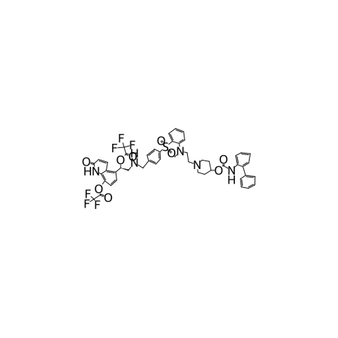 CN(CCN1CCC(OC(=O)Nc2ccccc2-c2ccccc2)CC1)c1ccccc1S(=O)(=O)c1ccc(CNC[C@H](OC(=O)C(F)(F)F)c2ccc(OC(=O)C(F)(F)F)c3[nH]c(=O)ccc23)cc1